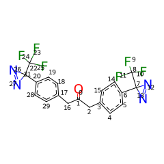 O=C(Cc1ccc(C2(C(F)(F)F)N=N2)cc1)Cc1ccc(C2(C(F)(F)F)N=N2)cc1